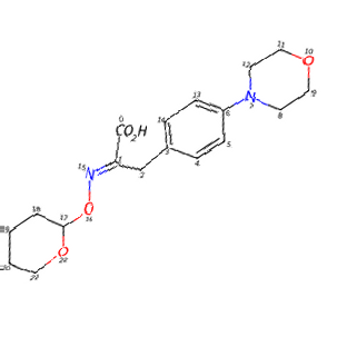 O=C(O)/C(Cc1ccc(N2CCOCC2)cc1)=N/OC1CCCCO1